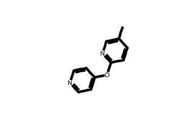 Cc1ccc(Oc2ccncc2)nc1